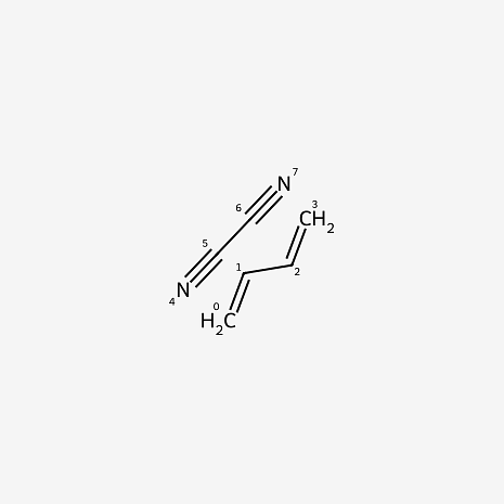 C=CC=C.N#CC#N